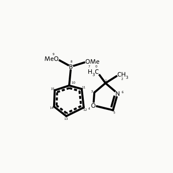 CC1(C)COC=N1.COB(OC)c1ccccc1